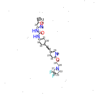 CC(C)(C)c1cc(NC(=O)Nc2ccc(C#Cc3ccc(OCCN4CCC(F)(F)C4)nc3)cc2)no1